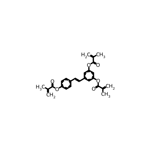 C=C(C)C(=O)Oc1ccc(C=Cc2cc(OC(=O)C(=C)C)cc(OC(=O)C(=C)C)c2)cc1